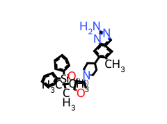 Cc1cc2cnc(N)nc2cc1C1CCN([C@H]2COC[C@H]2O[Si](c2ccccc2)(c2ccccc2)C(C)(C)C)CC1